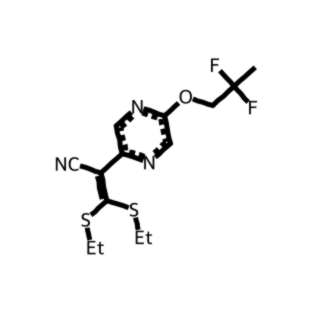 CCSC(SCC)=C(C#N)c1cnc(OCC(C)(F)F)cn1